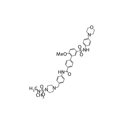 COc1ccc(S(=O)(=O)Nc2ccc(N3CCOCC3)cc2)cc1-c1ccc(C(=O)Nc2ccc(CN3CCN(S(=O)(=O)N(C)C)CC3)cc2)cc1